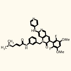 COc1cc(OC)c(F)c(-c2cc3cnc(Nc4ccncc4)cc3n(Cc3cccc(NC(=O)/C=C/CN(C)C)c3)c2=O)c1F